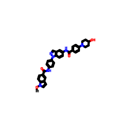 CCOn1ccc2cc(C(=O)Nc3ccc(-n4ncc5cc(NC(=O)c6ccc(N7CCC(O)CC7)cc6)ccc54)cc3)ccc21